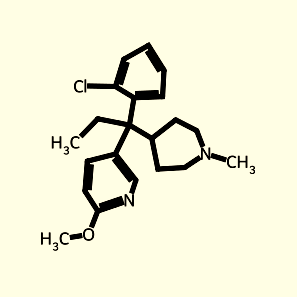 CCC(c1ccc(OC)nc1)(c1ccccc1Cl)C1CCN(C)CC1